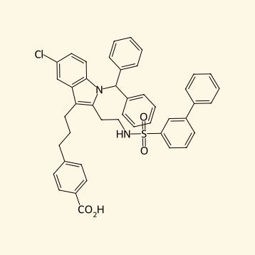 O=C(O)c1ccc(CCCc2c(CCNS(=O)(=O)c3cccc(-c4ccccc4)c3)n(C(c3ccccc3)c3ccccc3)c3ccc(Cl)cc23)cc1